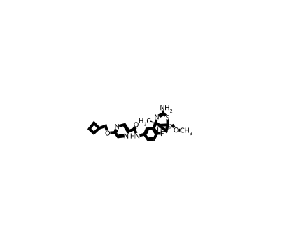 COC[C@]12C[C@H]1[C@@](C)(c1cc(NC(=O)c3cnc(OCC4CCC4)cn3)ccc1F)N=C(N)S2